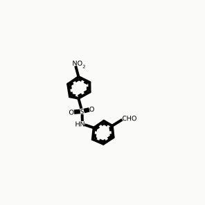 O=Cc1cccc(NS(=O)(=O)c2ccc([N+](=O)[O-])cc2)c1